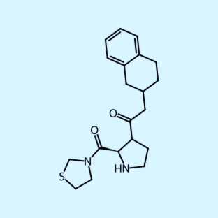 O=C(CC1CCc2ccccc2C1)C1CCN[C@H]1C(=O)N1CCSC1